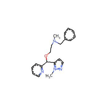 CN(CCOC(c1ccccn1)c1ccnn1C)Cc1ccccc1